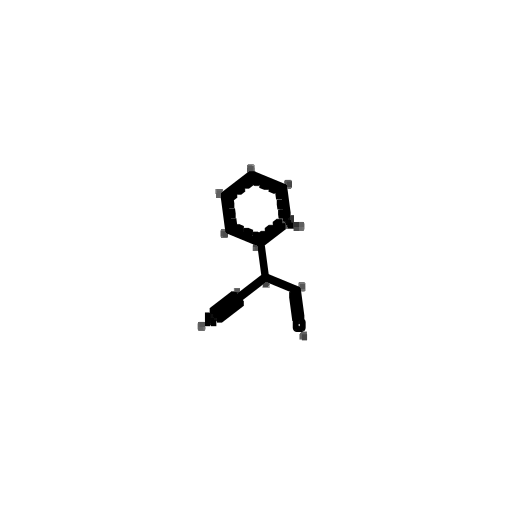 N#CC(C=O)c1ccccn1